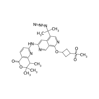 CC1c2nc(Nc3cc4c(C(C)(C)N=[N+]=[N-])cnc(OC5CC(S(C)(=O)=O)C5)c4cn3)ccc2C(=O)OC1(C)C